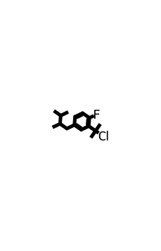 CC(C)C(C)Cc1ccc(F)c(C(C)(C)Cl)c1